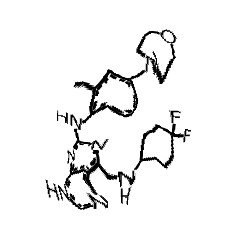 Cc1cc(N2CCOCC2)ccc1Nc1nc(NC2CCC(F)(F)CC2)c2nc[nH]c2n1